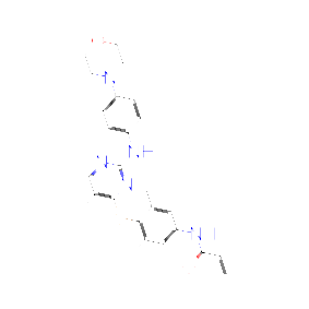 C=CC(=O)Nc1cc(C)c(Sc2nc(Nc3ccc(N4CCOCC4)cc3)ncc2C)c(C)c1